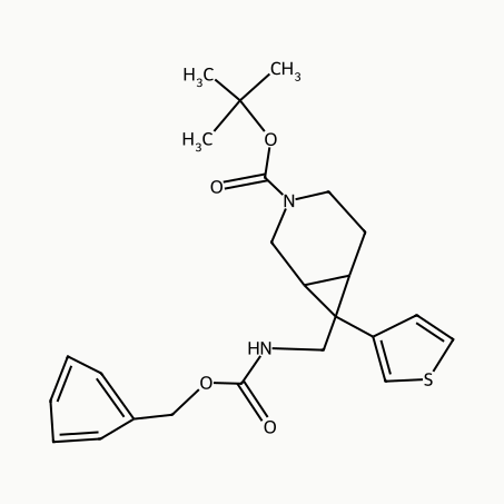 CC(C)(C)OC(=O)N1CCC2C(C1)C2(CNC(=O)OCc1ccccc1)c1ccsc1